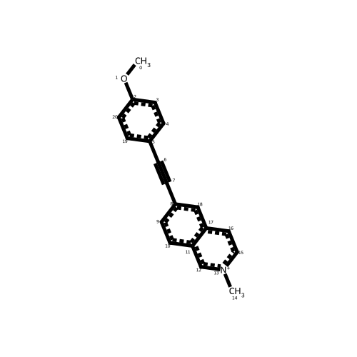 COc1ccc(C#Cc2ccc3c[n+](C)ccc3c2)cc1